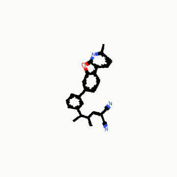 Cc1ccc2c(n1)oc1cc(-c3cccc(C(C)C(C)C=C(C#N)C#N)c3)ccc12